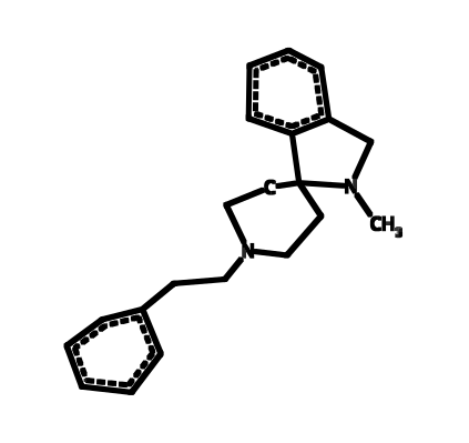 CN1Cc2ccccc2C12CCN(CCc1ccccc1)CC2